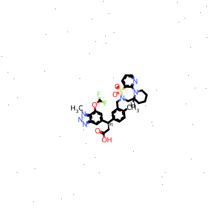 Cc1ccc([C@@H](CC(=O)O)c2cc(OC(F)F)c3c(c2)nnn3C)cc1CN1C[C@H]2CCCCN2c2ncccc2S1(=O)=O